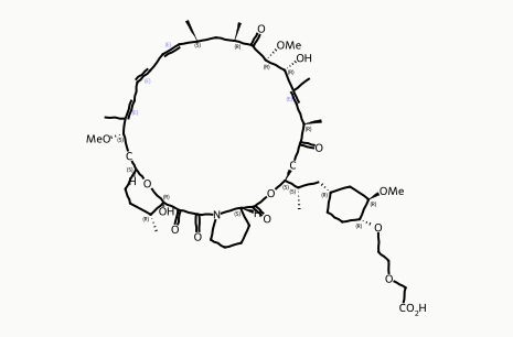 CO[C@H]1C[C@@H]2CC[C@@H](C)[C@@](O)(O2)C(=O)C(=O)N2CCCC[C@H]2C(=O)O[C@H]([C@@H](C)C[C@H]2CC[C@@H](OCCOCC(=O)O)[C@H](OC)C2)CC(=O)[C@H](C)/C=C(\C)[C@@H](O)[C@@H](OC)C(=O)[C@H](C)C[C@H](C)/C=C/C=C/C=C/1C